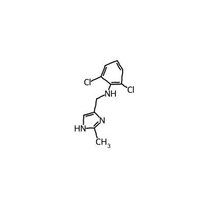 Cc1nc(CNc2c(Cl)cccc2Cl)c[nH]1